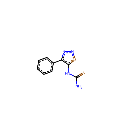 NC(=S)Nc1snnc1-c1ccccc1